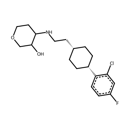 OC1COCCC1NCC[C@H]1CC[C@@H](c2ccc(F)cc2Cl)CC1